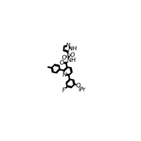 Cc1ccc(-c2nc(-c3cc(F)cc(OC(C)C)c3)ccc2C(=O)NS(=O)(=O)c2ccn[nH]2)cc1